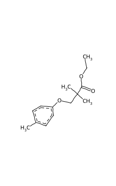 CCOC(=O)C(C)(C)COc1ccc(C)cc1